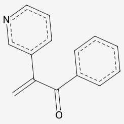 C=C(C(=O)c1ccccc1)c1cccnc1